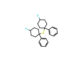 FC1CCC(SC2(c3ccccc3)CCC(F)CC2)(c2ccccc2)CC1